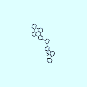 c1ccc(-c2cccc3c2sc2ccc(-c4cccc(-c5ccc6c(c5)c5cccc7c8ccccc8c8cccc6c8c75)c4)cc23)cc1